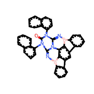 O=C1N(c2cccc3ccccc23)C2=NB3c4ccccc4-c4cc5c6c(c43)N2C(=NB6c2ccccc2-5)N1c1cccc2ccccc12